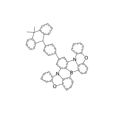 CC1(C)c2ccccc2C(c2ccc(-c3cc4c5c(c3)N3c6ccccc6Oc6cccc(c63)B5c3cccc5c3N4c3ccccc3O5)cc2)c2ccccc21